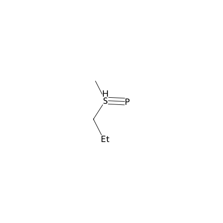 CCC[SH](C)#P